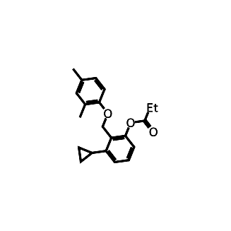 CCC(=O)Oc1cccc(C2CC2)c1COc1ccc(C)cc1C